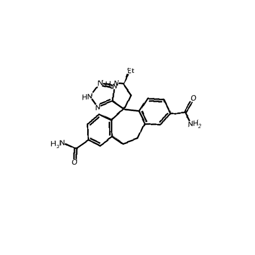 CC[C@H](N)CC1(c2nn[nH]n2)c2ccc(C(N)=O)cc2CCc2cc(C(N)=O)ccc21